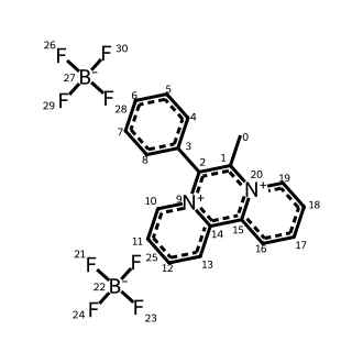 Cc1c(-c2ccccc2)[n+]2ccccc2c2cccc[n+]12.F[B-](F)(F)F.F[B-](F)(F)F